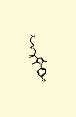 Cc1cc(C(=O)CNCCO)c(C)n1-c1ccc(C#N)cc1